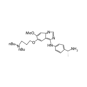 CCCCN(CCCC)CCCOc1cc2c(Nc3ccc([C@@H](C)N)cc3)ncnc2cc1OC